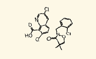 CC1(C)CON(Cc2ccccc2Cl)C1=O.O=C(O)c1c(Cl)ccc2cc(Cl)cnc12